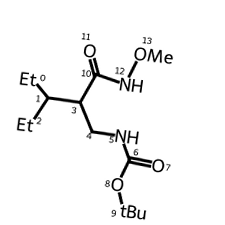 CCC(CC)C(CNC(=O)OC(C)(C)C)C(=O)NOC